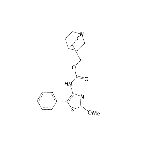 COc1nc(NC(=O)OCC2CN3CCC2CC3)c(-c2ccccc2)s1